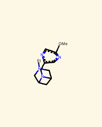 CCN1CC2CC(C1)N2Cc1cnc(OC)cn1